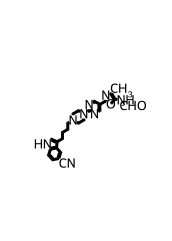 Cc1nc(-c2cnc(N3CCN(CCCCc4c[nH]c5ccc(C#N)cc45)CC3)nc2)oc1NC=O